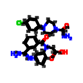 N=C(N)c1cccc(C(=O)N(CC(=O)O)c2ccccc2)c1.NC(=O)N1CCN(c2ccc(Cl)cc2)CC1